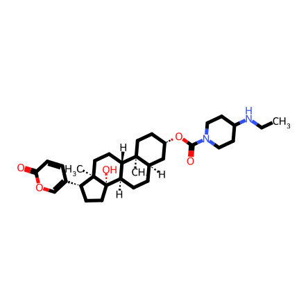 CCNC1CCN(C(=O)O[C@H]2CC[C@@]3(C)[C@H](CC[C@@H]4[C@@H]3CC[C@]3(C)[C@@H](c5ccc(=O)oc5)CC[C@]43O)C2)CC1